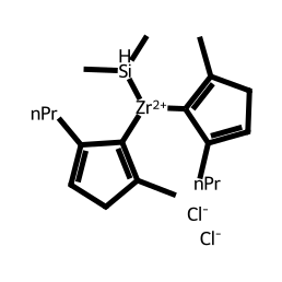 CCCC1=CCC(C)=[C]1[Zr+2]([C]1=C(C)CC=C1CCC)[SiH](C)C.[Cl-].[Cl-]